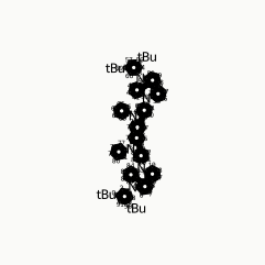 CC(C)(C)c1cc(-n2c3ccccc3c3c(N(c4ccccc4)c4ccc5c6cc7cc8c9ccc(N(c%10ccccc%10)c%10cccc%11c%10c%10ccccc%10n%11-c%10cc(C(C)(C)C)cc(C(C)(C)C)c%10)cc9n(-c9ccccc9)c8cc7cc6n(-c6ccccc6)c5c4)cccc32)cc(C(C)(C)C)c1